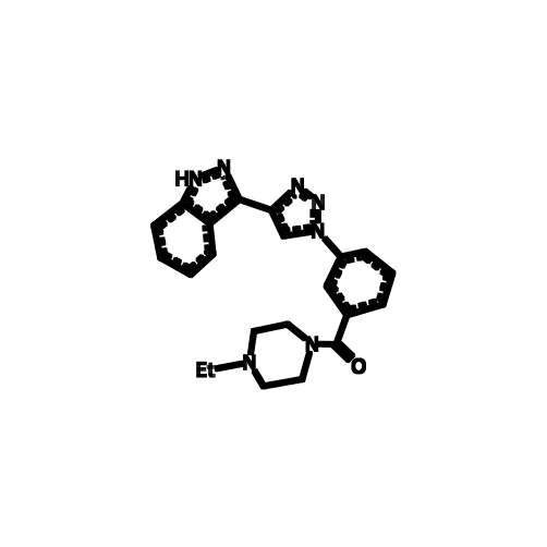 CCN1CCN(C(=O)c2cccc(-n3cc(-c4n[nH]c5ccccc45)nn3)c2)CC1